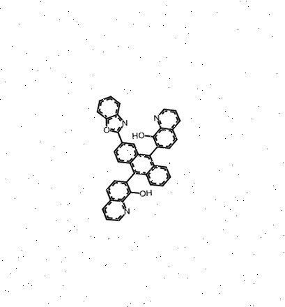 Oc1c(-c2c3ccccc3c(-c3ccc4cccnc4c3O)c3cc(-c4nc5ccccc5o4)ccc23)ccc2cccnc12